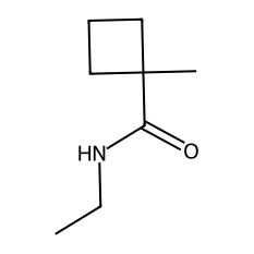 CCNC(=O)C1(C)CCC1